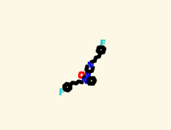 O=c1n(CCCCc2ccc(F)cc2)c2ccccc2n1C1CCN(CCCCc2ccc(F)cc2)CC1